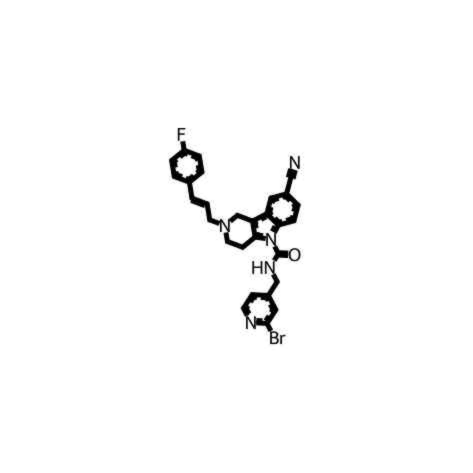 N#Cc1ccc2c(c1)c1c(n2C(=O)NCc2ccnc(Br)c2)CCN(C/C=C/c2ccc(F)cc2)C1